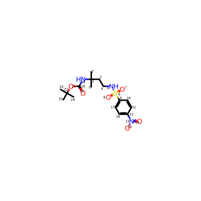 CC(C)(CCNS(=O)(=O)c1ccc([N+](=O)[O-])cc1)NC(=O)OC(C)(C)C